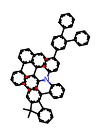 CC1(C)c2ccccc2-c2c(-c3ccccc3N(c3ccc(-c4ccc(-c5ccccc5)c(-c5ccccc5)c4)cc3)c3ccccc3-c3cccc4cccc(-c5ccccc5)c34)cccc21